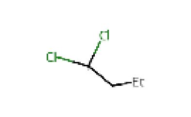 [CH2]CC[C](Cl)Cl